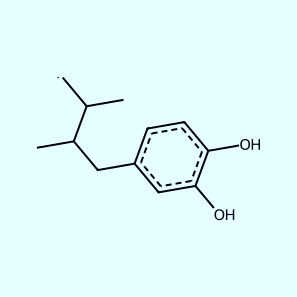 [CH2]C(C)C(C)Cc1ccc(O)c(O)c1